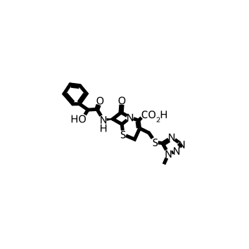 Cn1nnnc1SCC1=C(C(=O)O)N2C(=O)[C@H](NC(=O)C(O)c3ccccc3)C2SC1